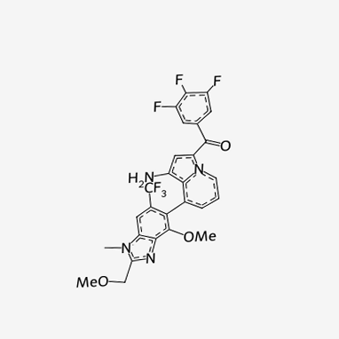 COCc1nc2c(OC)c(-c3cccn4c(C(=O)c5cc(F)c(F)c(F)c5)cc(N)c34)c(C(F)(F)F)cc2n1C